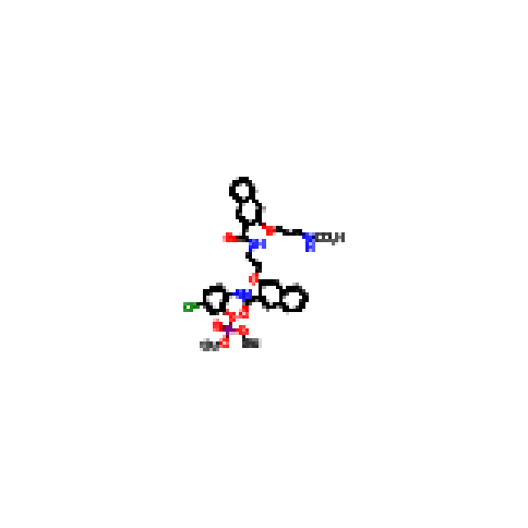 CC(C)(C)OP(=O)(Oc1cc(Cl)ccc1NC(=O)c1cc2ccccc2cc1OCCNC(=O)c1cc2ccccc2cc1OCCCNC(=O)O)OC(C)(C)C